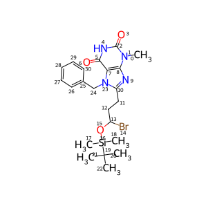 Cn1c(=O)[nH]c(=O)c2c1nc(CCC(Br)O[Si](C)(C)C(C)(C)C)n2Cc1ccccc1